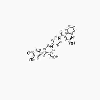 O=C(c1cc(O)nc2ccccc12)N1CCC(N2CCC(Cc3ccc(Cl)c(Cl)c3)[C@H](CO)C2)CC1